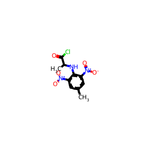 Cc1cc([N+](=O)[O-])c(NC(C)C(=O)Cl)c([N+](=O)[O-])c1